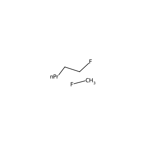 CCCCCF.CF